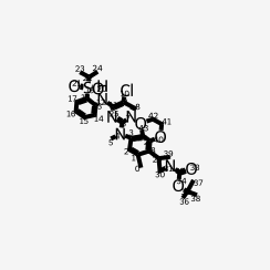 Cc1cc(N(C)c2ncc(Cl)c(Nc3ccccc3S(=O)(=O)C(C)C)n2)c2c(c1C1CN(C(=O)OC(C)(C)C)C1)OCCO2